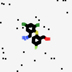 NCc1cc(Cl)cc(Cl)c1Sc1ccc(F)cc1CO